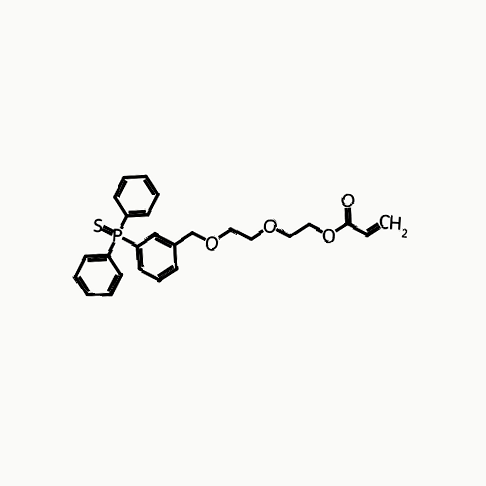 C=CC(=O)OCCOCCOCc1cccc(P(=S)(c2ccccc2)c2ccccc2)c1